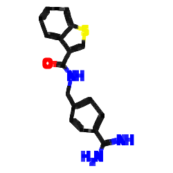 N=C(N)c1ccc(CNC(=O)c2csc3ccccc23)cc1